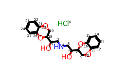 Cl.OC(CNCC(O)C1COc2ccccc2O1)C1COc2ccccc2O1